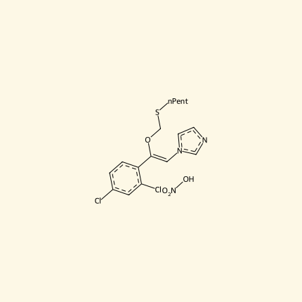 CCCCCSCOC(=Cn1ccnc1)c1ccc(Cl)cc1Cl.O=[N+]([O-])O